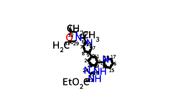 C=C1CN(C(C)c2ccc(-c3cc(-c4ccccn4)c4[nH]c(NC(=O)OCC)nc4c3)cn2)CC(=C)O1